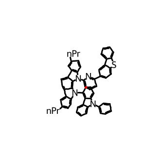 CCCc1ccc2c(c1)c1ccc3c4cc(CCC)ccc4n(-c4cccc5c4c4ccccc4n5-c4ccccc4)c3c1n2-c1cccc(-c2ccc3sc4ccccc4c3c2)n1